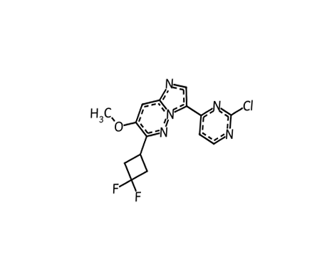 COc1cc2ncc(-c3ccnc(Cl)n3)n2nc1C1CC(F)(F)C1